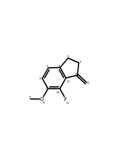 C=C1CCc2ccc(OC)c(F)c21